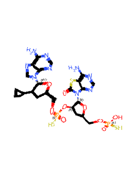 Nc1ncnc2c1ncn2[C@@H]1OC(CO[P@](=O)(S)O[C@@H]2CC(CO[P@@](=O)(O)S)O[C@H]2n2c(=O)sc3c(N)ncnc32)CC1C1CC1